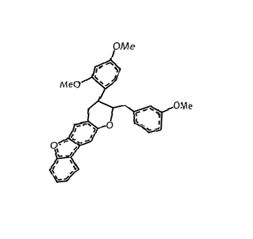 COc1cccc(CC2Oc3cc4c(cc3CC2c2ccc(OC)cc2OC)oc2ccccc24)c1